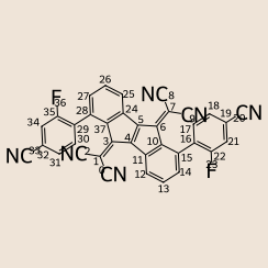 N#CC(C#N)=C1C2=C(C(=C(C#N)C#N)c3c2cccc3-c2ccc(C#N)cc2F)c2cccc(-c3ccc(C#N)cc3F)c21